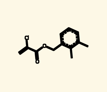 C=C(Cl)C(=O)OCc1cccc(C)c1C